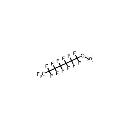 FC(F)(F)C(F)(F)C(F)(F)C(F)(F)C(F)(F)C(F)(F)C(F)(F)[O][Sn]